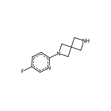 Fc1ccc(N2CC3(CNC3)C2)nc1